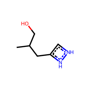 CC(CO)Cc1c[nH][nH]1